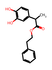 CC(C(=O)OCCc1ccccc1)c1ccc(O)c(O)c1